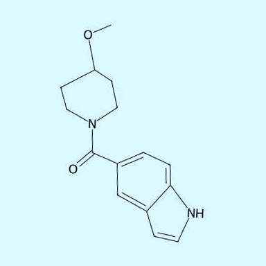 COC1CCN(C(=O)c2ccc3[nH]ccc3c2)CC1